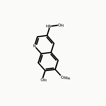 COc1cc2cc(BO)cnc2cc1O